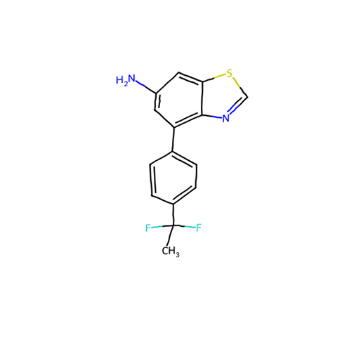 CC(F)(F)c1ccc(-c2cc(N)cc3scnc23)cc1